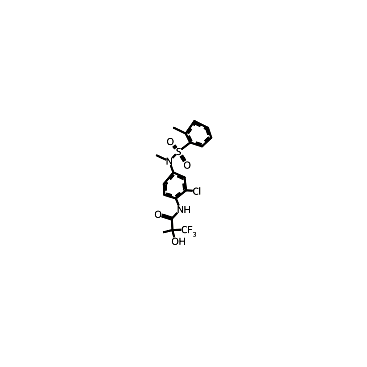 Cc1ccccc1S(=O)(=O)N(C)c1ccc(NC(=O)C(C)(O)C(F)(F)F)c(Cl)c1